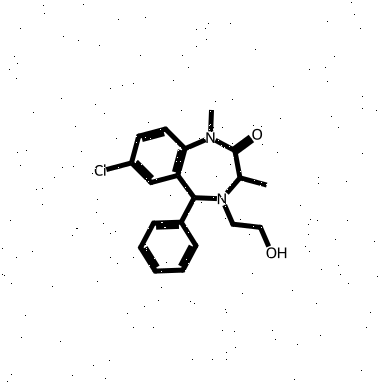 CC1C(=O)N(C)c2ccc(Cl)cc2C(c2ccccc2)N1CCO